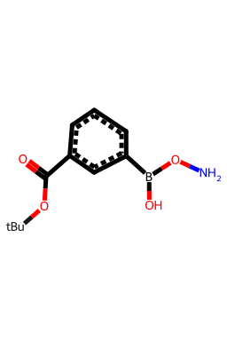 CC(C)(C)OC(=O)c1cccc(B(O)ON)c1